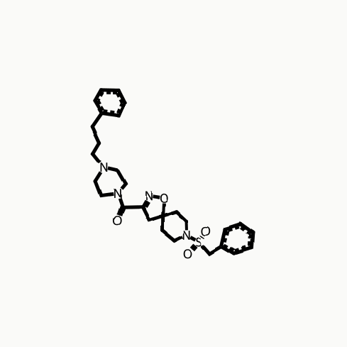 O=C(C1=NOC2(CCN(S(=O)(=O)Cc3ccccc3)CC2)C1)N1CCN(CCCc2ccccc2)CC1